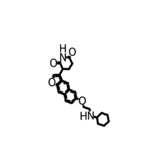 O=C1CCC(c2coc3cc4ccc(OCCNC5CCCCC5)cc4cc23)C(=O)N1